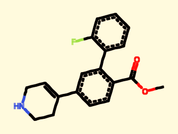 COC(=O)c1ccc(C2=CCNCC2)cc1-c1ccccc1F